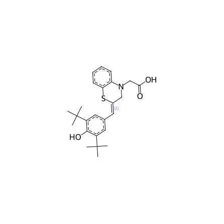 CC(C)(C)c1cc(/C=C2/CN(CC(=O)O)c3ccccc3S2)cc(C(C)(C)C)c1O